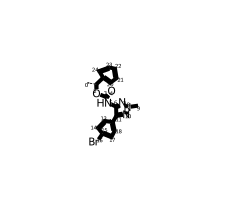 C[C@@H](OC(=O)Nc1nn(C)nc1-c1ccc(Br)cc1)c1ccccc1